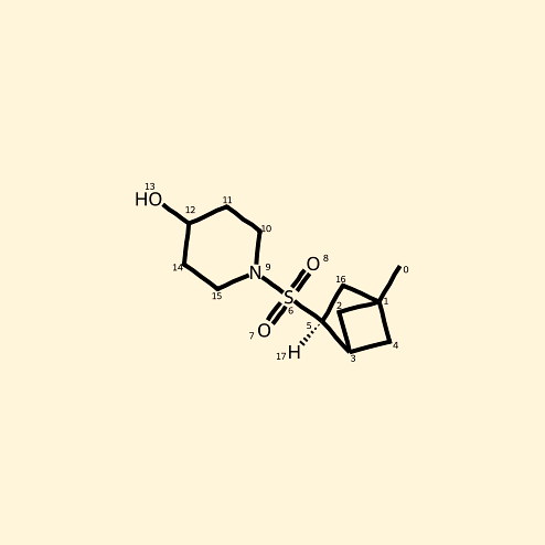 CC12CC(C1)[C@@H](S(=O)(=O)N1CCC(O)CC1)C2